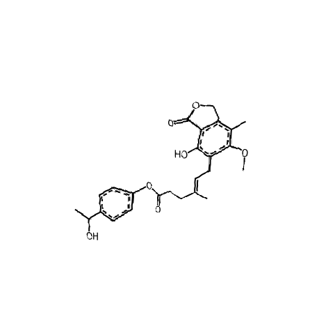 COc1c(C)c2c(c(O)c1C/C=C(\C)CCC(=O)Oc1ccc(C(C)O)cc1)C(=O)OC2